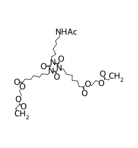 C=CC(=O)OCCOC(=O)CCCCCCn1c(=O)n(CCCCCCNC(C)=O)c(=O)n(CCCCCCC(=O)OCCOC(=O)C=C)c1=O